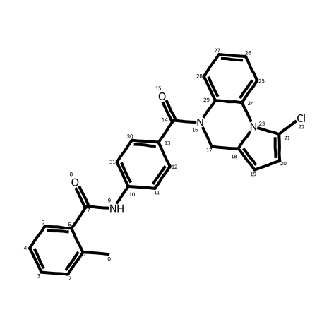 Cc1ccccc1C(=O)Nc1ccc(C(=O)N2Cc3ccc(Cl)n3-c3ccccc32)cc1